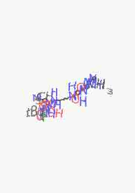 Cc1ncsc1-c1ccc([C@H](CC(=O)NCCCCCCCCCNC(=O)c2ccc(C(=O)Nc3ccc4[nH]c(CN5CCC[C@@H]5C)nc4c3)cc2)NC(=O)[C@@H]2C[C@@H](O)CN2C(=O)[C@@H](NC(=O)C2(F)CC2)C(C)(C)C)cc1